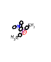 Cc1ccc(P(=O)(c2ccc(C)cc2)c2ccc3c(c2)c2ccccc2n3-c2ccccc2)cc1